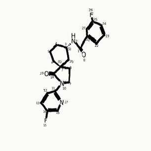 O=C(N[C@H]1CCC[C@]2(CCN(c3ccc(F)cn3)C2=O)C1)c1cccc(F)c1